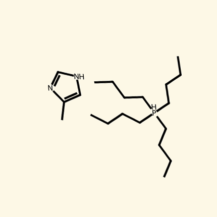 CCCC[PH](CCCC)(CCCC)CCCC.Cc1c[nH]cn1